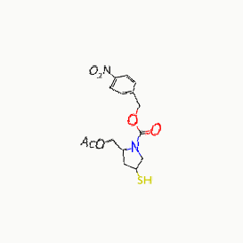 CC(=O)OCC1C[C@H](S)CN1C(=O)OCc1ccc([N+](=O)[O-])cc1